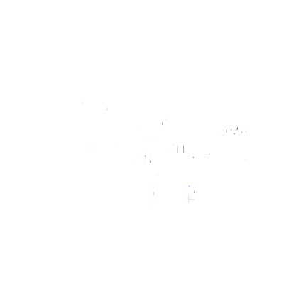 COc1cccc2[nH]c(C(=O)N3CC(c4ccccc4)CC3(C)C)cc12